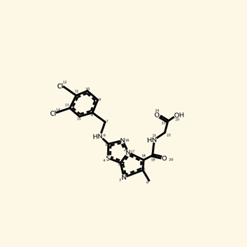 Cc1nc2sc(NCc3ccc(Cl)c(Cl)c3)nn2c1C(=O)NCC(=O)O